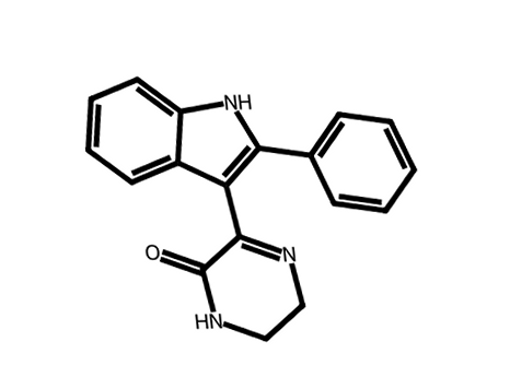 O=C1NCCN=C1c1c(-c2ccccc2)[nH]c2ccccc12